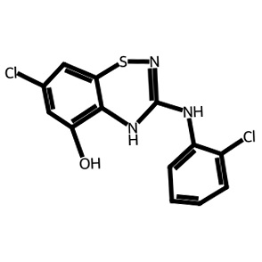 Oc1cc(Cl)cc2c1NC(Nc1ccccc1Cl)=NS2